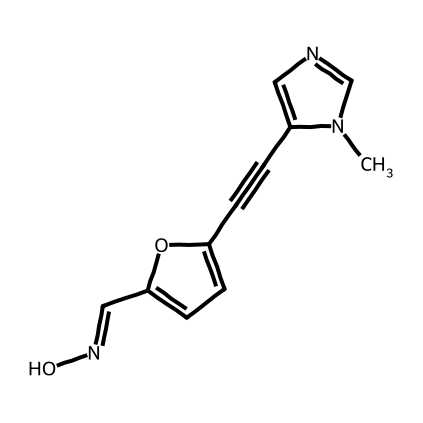 Cn1cncc1C#Cc1ccc(/C=N/O)o1